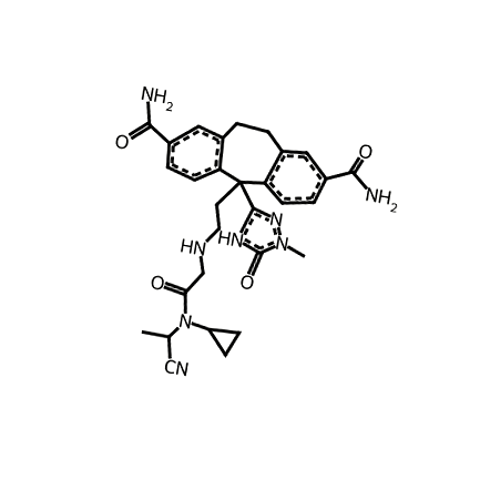 CC(C#N)N(C(=O)CNCCC1(c2nn(C)c(=O)[nH]2)c2ccc(C(N)=O)cc2CCc2cc(C(N)=O)ccc21)C1CC1